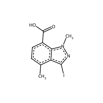 Cc1ccc(C(=O)O)c2c1c(I)nn2C